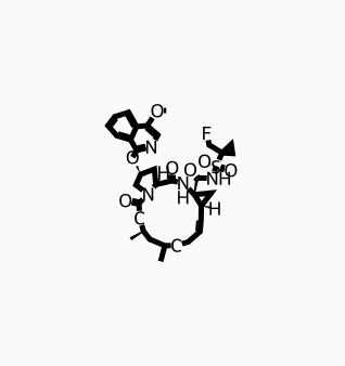 COc1cnc(O[C@@H]2C[C@H]3C(=O)N[C@]4(C(=O)NS(=O)(=O)C5(CF)CC5)C[C@H]4/C=C\CCC(C)C[C@@H](C)CC(=O)N3C2)c2ccccc12